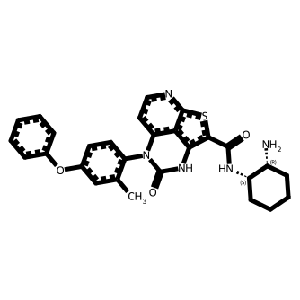 Cc1cc(Oc2ccccc2)ccc1N1C(=O)Nc2c(C(=O)N[C@H]3CCCC[C@H]3N)sc3nccc1c23